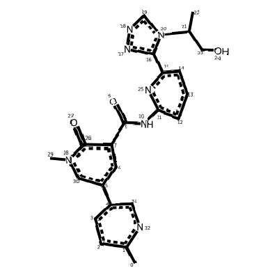 Cc1ccc(-c2cc(C(=O)Nc3cccc(-c4nncn4C(C)CO)n3)c(=O)n(C)c2)cn1